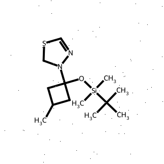 CC1CC(O[Si](C)(C)C(C)(C)C)(N2CSC=N2)C1